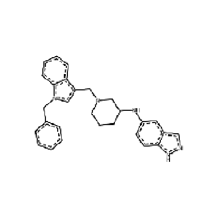 c1ccc(Cn2cc(CN3CCCC(Nc4ccc5[nH]ncc5c4)C3)c3ccccc32)cc1